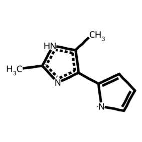 Cc1nc(C2=CC=C[N]2)c(C)[nH]1